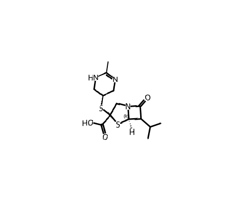 CC1=NCC(SC2(C(=O)O)CN3C(=O)C(C(C)C)[C@H]3S2)CN1